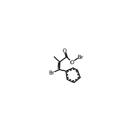 CC(C(=O)OBr)=C(Br)c1ccccc1